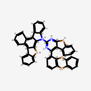 c1ccc2c(c1)Sc1cccc(-c3nc(-n4c5ccccc5c5c6ccccc6c6c7ccccc7sc6c54)nc4sc5ccccc5c34)c1S2